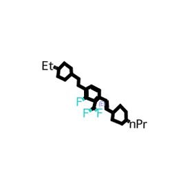 CCCC1CCC(/C=C/c2ccc(CCC3CCC(CC)CC3)c(F)c2C(F)F)CC1